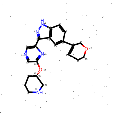 C1=C(c2ccc3[nH]nc(-c4cncc(O[C@@H]5CCCNC5)n4)c3c2)COCC1